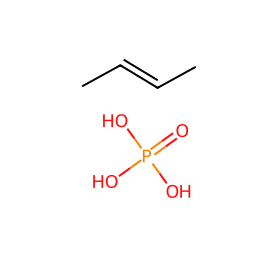 CC=CC.O=P(O)(O)O